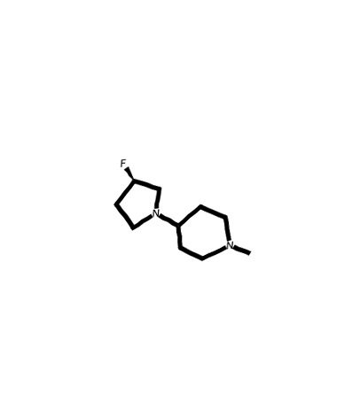 CN1CCC(N2CC[C@@H](F)C2)CC1